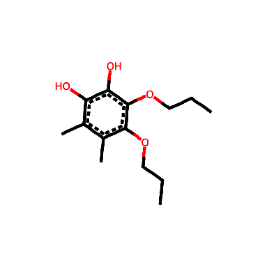 CCCOc1c(C)c(C)c(O)c(O)c1OCCC